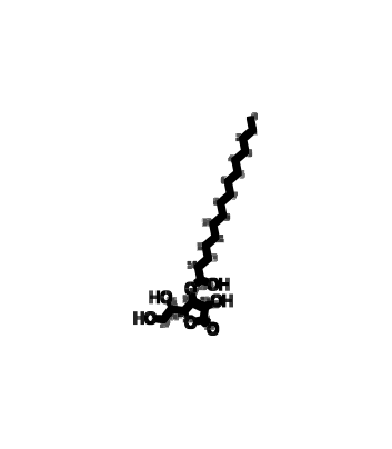 CCCCCCCCCCCCCCCC(O)OC1=C(O)C(=O)O[C@@H]1[C@@H](O)CO